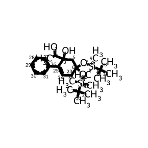 CC(O)C1(O)CC(O[Si](C)(C)C(C)(C)C)(O[Si](C)(C)C(C)(C)C)CC=C1c1ccccc1